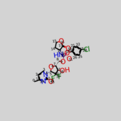 Cc1ccn([C@@H]2O[C@H](COP(=O)(N[C@H]3CCOC3=O)Oc3ccc(Cl)cc3)[C@@H](O)C2(F)F)c(=O)n1